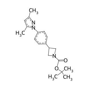 Cc1cc(C)n(-c2ccc(C3CN(C(=O)OC(C)(C)C)C3)cc2)n1